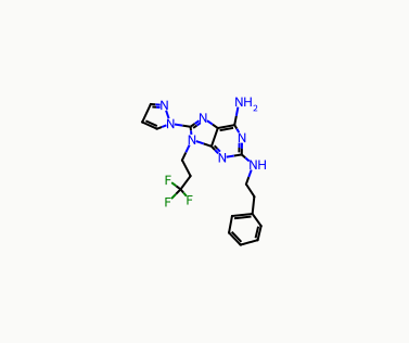 Nc1nc(NCCc2ccccc2)nc2c1nc(-n1cccn1)n2CCC(F)(F)F